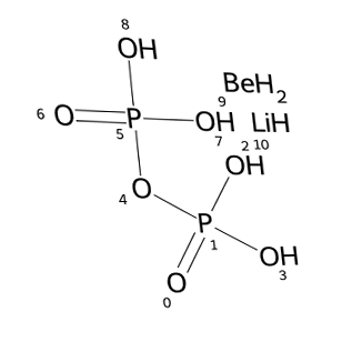 O=P(O)(O)OP(=O)(O)O.[BeH2].[LiH]